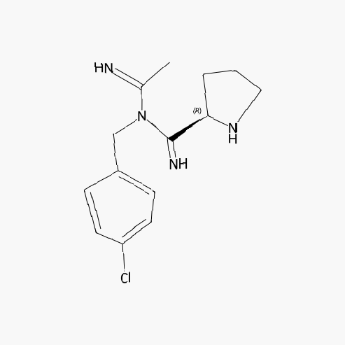 CC(=N)N(Cc1ccc(Cl)cc1)C(=N)[C@H]1CCCN1